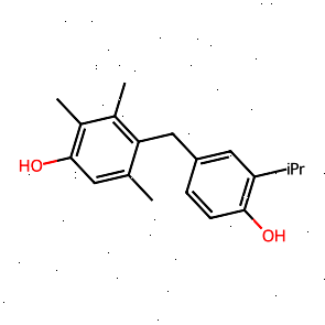 Cc1cc(O)c(C)c(C)c1Cc1ccc(O)c(C(C)C)c1